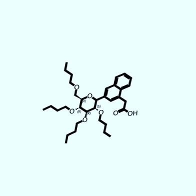 CCCCOC[C@H]1OC(c2cc(CC(=O)O)c3ccccc3c2)[C@H](OCCCC)[C@@H](OCCCC)[C@@H]1OCCCC